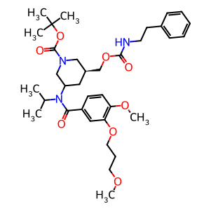 COCCCOc1cc(C(=O)N(C(C)C)C2C[C@H](COC(=O)NCCc3ccccc3)CN(C(=O)OC(C)(C)C)C2)ccc1OC